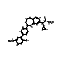 COc1cc(-c2ccc(C3CCCc4ccc(C(C5CC5)[C@H](C)C(=O)O)cc4O3)nc2)c(F)cn1